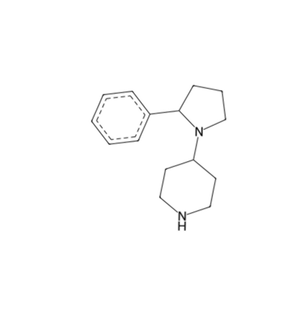 c1ccc(C2CCCN2C2CCNCC2)cc1